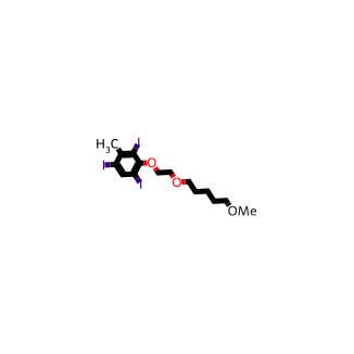 COCCCCCOCCOc1c(I)cc(I)c(C)c1I